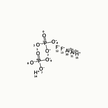 O=P([O-])([O-])[O-].O=P([O-])([O-])[O-].[Al+3].[Al+3].[F-].[F-].[H+].[H+]